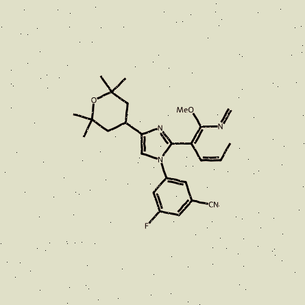 C=N/C(OC)=C(\C=C/C)c1nc(C2CC(C)(C)OC(C)(C)C2)cn1-c1cc(F)cc(C#N)c1